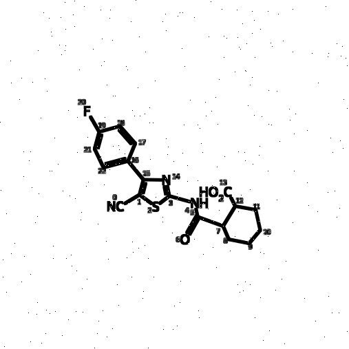 N#Cc1sc(NC(=O)C2CCCCC2C(=O)O)nc1-c1ccc(F)cc1